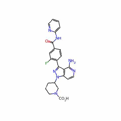 Nc1nccc2c1c(-c1ccc(C(=O)Nc3ccccn3)cc1F)nn2C1CCCN(C(=O)O)C1